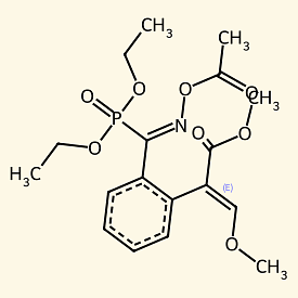 CCOP(=O)(OCC)C(=NOC(C)=O)c1ccccc1/C(=C\OC)C(=O)OC